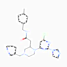 Cc1ccc(CNC(=O)CC2CN(Cc3cccnc3)CCN2c2cc(Cl)nc(-n3ccnc3)n2)cc1